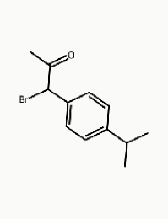 CC(=O)C(Br)c1ccc(C(C)C)cc1